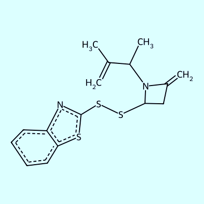 C=C(C)C(C)N1C(=C)CC1SSc1nc2ccccc2s1